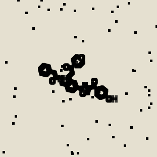 O=C(Cc1ccccc1)NCc1ccc(-c2nc(C(=O)N3CCC(O)CC3)co2)cc1CCC(=O)N1CCOCC1